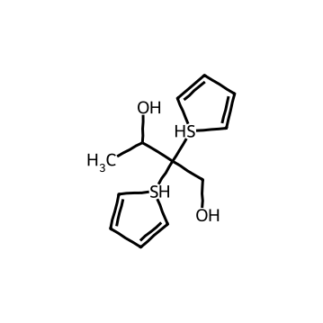 CC(O)C(CO)([SH]1C=CC=C1)[SH]1C=CC=C1